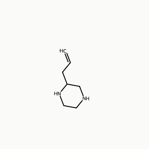 [CH]=CCC1CNCCN1